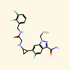 NC(=O)c1nn(CC(=O)O)c2cc(C3CC3NCC(=O)NCc3cccc(Cl)c3F)c(F)cc12